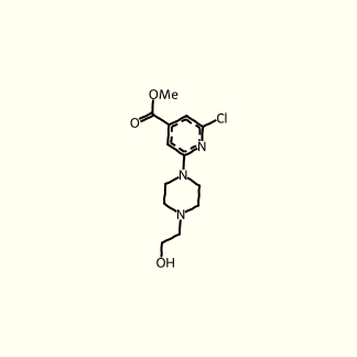 COC(=O)c1cc(Cl)nc(N2CCN(CCO)CC2)c1